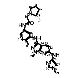 Cc1ncc(NC(=O)CN2CCC[C@@H]2C)cc1Nc1nn(C)c2nc(Nc3cn(C)cn3)ncc12